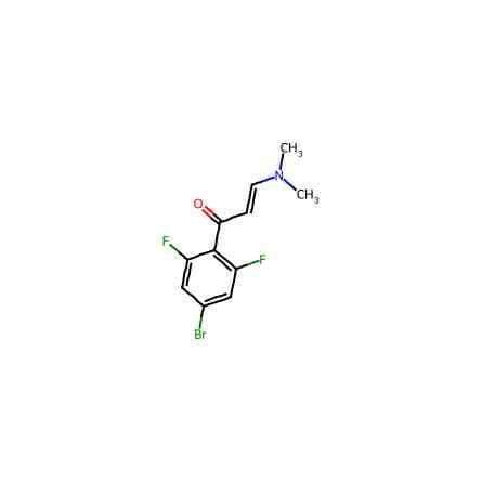 CN(C)C=CC(=O)c1c(F)cc(Br)cc1F